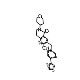 Cc1nc2c(cc1Cc1ccc(-c3cscn3)cc1)C(=O)N(C1CCOCC1)CC2